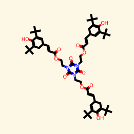 CC(C)(C)C1=CC(C=CC(=O)OCCn2c(=O)n(CCOC(=O)C=CC3C=C(C(C)(C)C)C(O)=C(C(C)(C)C)C3)c(=O)n(CCOC(=O)C=CC3C=C(C(C)(C)C)C(O)=C(C(C)(C)C)C3)c2=O)CC(C(C)(C)C)=C1O